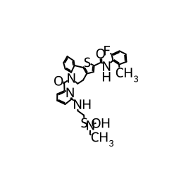 CCN(O)SCCNc1cccc(C(=O)N2CCc3cc(C(=O)Nc4c(C)cccc4F)sc3-c3ccccc32)n1